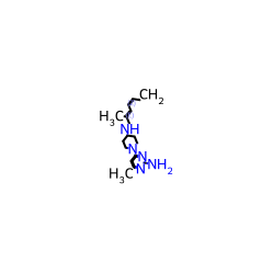 C=C/C=C\C=C(/C)CNC1CCN(c2cc(C)nc(N)n2)CC1